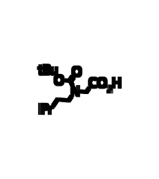 CC(C)CCN(CC(=O)O)C(=O)OC(C)(C)C